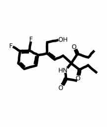 CCC(=O)C(CC=C(CO)c1cccc(F)c1F)(NC(C)=O)C(=O)CC